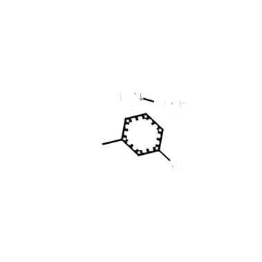 Cc1cccc(Cl)c1.NC(=O)O